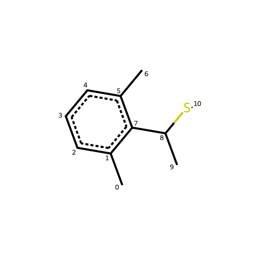 Cc1cccc(C)c1C(C)[S]